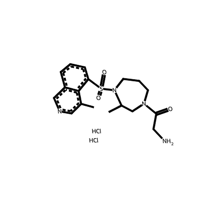 Cc1cncc2cccc(S(=O)(=O)N3CCCN(C(=O)CN)CC3C)c12.Cl.Cl